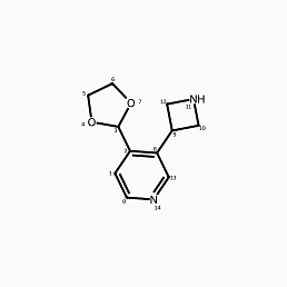 c1cc(C2OCCO2)c(C2CNC2)cn1